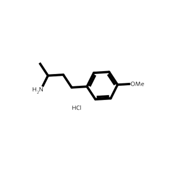 COc1ccc(CCC(C)N)cc1.Cl